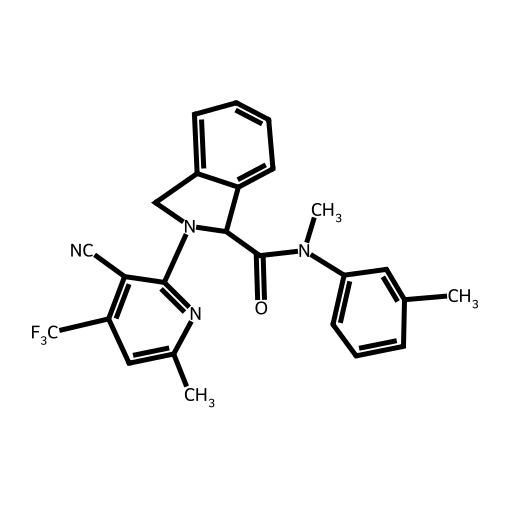 Cc1cccc(N(C)C(=O)C2c3ccccc3CN2c2nc(C)cc(C(F)(F)F)c2C#N)c1